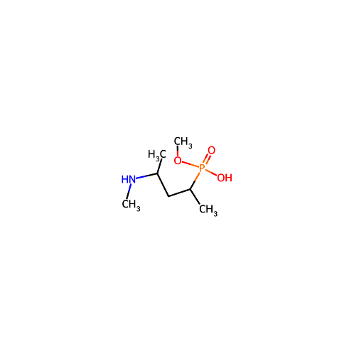 CNC(C)CC(C)P(=O)(O)OC